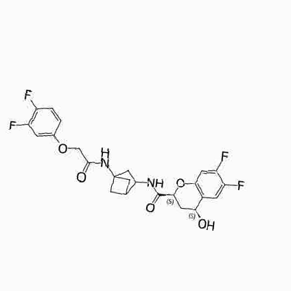 O=C(COc1ccc(F)c(F)c1)NC12CC(C1)C(NC(=O)[C@@H]1C[C@H](O)c3cc(F)c(F)cc3O1)C2